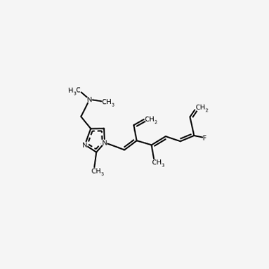 C=C\C(F)=C/C=C(C)/C(C=C)=C/n1cc(CN(C)C)nc1C